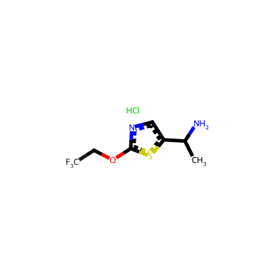 CC(N)c1cnc(OCC(F)(F)F)s1.Cl